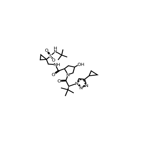 CC(C)(C)NS(=O)(=O)C1(CNC(=O)C2CC(O)CN2C(=O)[C@@H](n2cc(C3CC3)nn2)C(C)(C)C)CC1